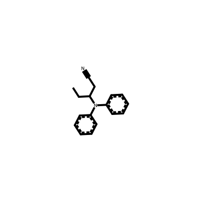 CCC(CC#N)N(c1ccccc1)c1ccccc1